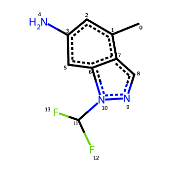 Cc1cc(N)cc2c1cnn2C(F)F